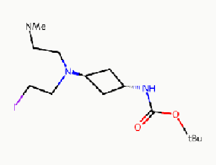 CNCCN(CCI)[C@H]1C[C@H](NC(=O)OC(C)(C)C)C1